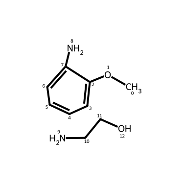 COc1ccccc1N.NCCO